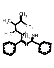 C=C(C)C(C)[C@H](C)N(C)/C(=N\C(=N)c1ccccc1)c1ccccc1